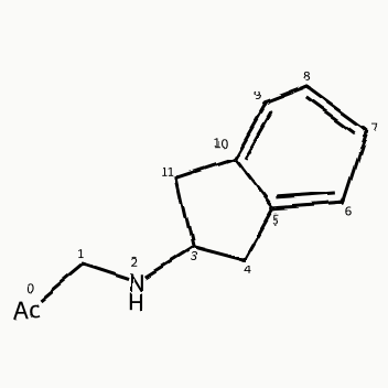 CC(=O)CNC1Cc2ccccc2C1